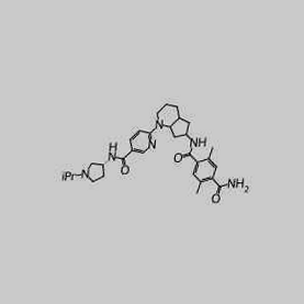 Cc1cc(C(=O)NC2CC3CCCN(c4ccc(C(=O)N[C@@H]5CCN(C(C)C)C5)cn4)C3C2)c(C)cc1C(N)=O